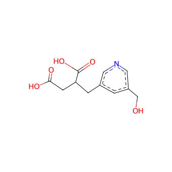 O=C(O)CC(Cc1cncc(CO)c1)C(=O)O